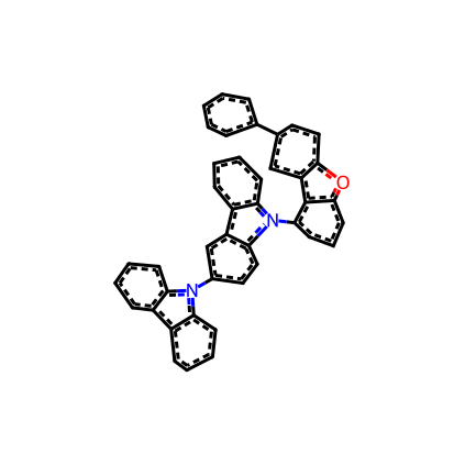 c1ccc(-c2ccc3oc4cccc(-n5c6ccccc6c6cc(-n7c8ccccc8c8ccccc87)ccc65)c4c3c2)cc1